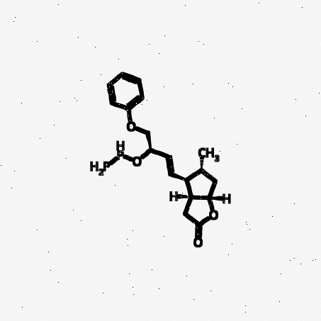 C[C@@H]1C[C@@H]2OC(=O)C[C@@H]2[C@H]1/C=C/[C@H](COc1ccccc1)OPP